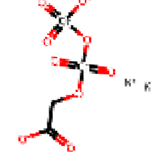 O=C([O-])C[O][Cr](=[O])(=[O])[O][Cr](=[O])(=[O])[O-].[K+].[K+]